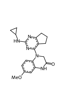 COc1ccc2c(c1)NC(=O)CN2c1nc(NC2CC2)nc2c1CCC2